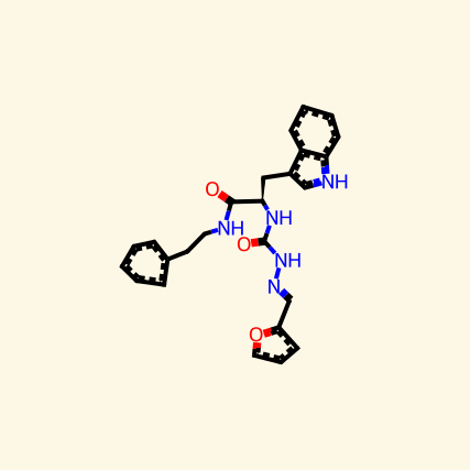 O=C(NN=Cc1ccco1)N[C@H](Cc1c[nH]c2ccccc12)C(=O)NCCc1ccccc1